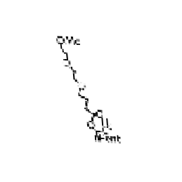 CCCCCC(C)OC(=O)CCCOCCOCCOC